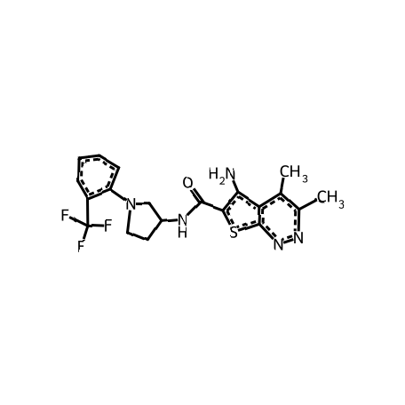 Cc1nnc2sc(C(=O)NC3CCN(c4ccccc4C(F)(F)F)C3)c(N)c2c1C